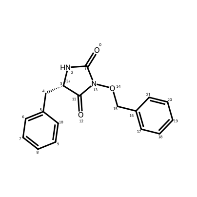 O=C1N[C@@H](Cc2ccccc2)C(=O)N1OCc1ccccc1